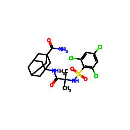 CC(C)(NS(=O)(=O)c1c(Cl)cc(Cl)cc1Cl)C(=O)NC12CC3CC(C1)CC(C(N)=O)(C3)C2